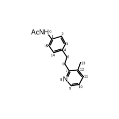 CC(=O)Nc1ccc(CCc2ncccc2C)cc1